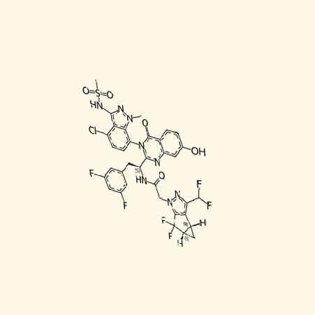 Cn1nc(NS(C)(=O)=O)c2c(Cl)ccc(-n3c([C@H](Cc4cc(F)cc(F)c4)NC(=O)Cn4nc(C(F)F)c5c4C(F)(F)[C@H]4C[C@@H]54)nc4cc(O)ccc4c3=O)c21